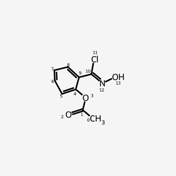 CC(=O)Oc1ccccc1C(Cl)=NO